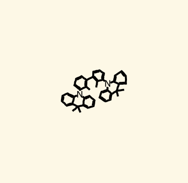 Cc1c(-c2cccc(N3c4ccccc4C(C)(C)c4ccccc43)c2C)cccc1N1c2ccccc2C(C)(C)c2ccccc21